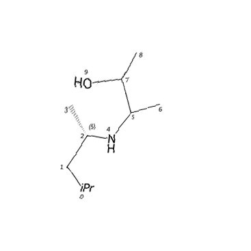 CC(C)C[C@H](C)NC(C)C(C)O